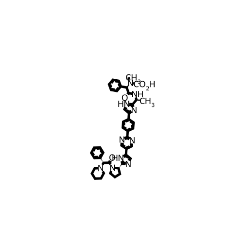 C[C@H](NC(=O)[C@@H](c1ccccc1)N(C)C(=O)O)c1nc(-c2ccc(-c3ncc(-c4cnc([C@@H]5CCCN5C(=O)[C@@H](c5ccccc5)N5CCCCC5)[nH]4)cn3)cc2)c[nH]1